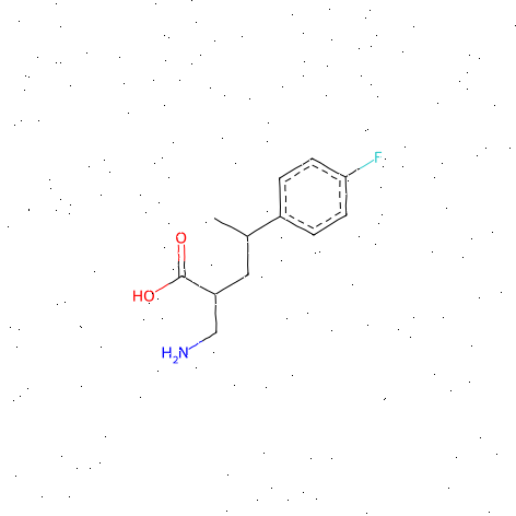 CC(CC(CN)C(=O)O)c1ccc(F)cc1